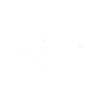 COC(=O)C(CC(C)(C)Cc1ccccc1Br)(O[Si](C)(C)C)C(F)(F)F